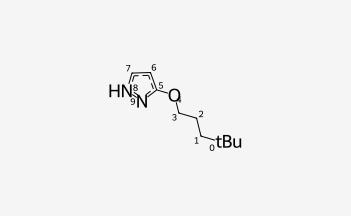 CC(C)(C)CCCOc1cc[nH]n1